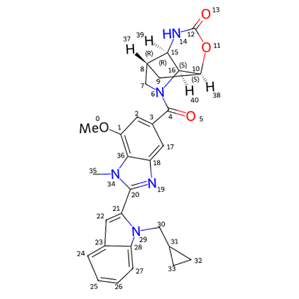 COc1cc(C(=O)N2C[C@H]3C[C@@H]4OC(=O)N[C@H]3[C@@H]42)cc2nc(-c3cc4ccccc4n3CC3CC3)n(C)c12